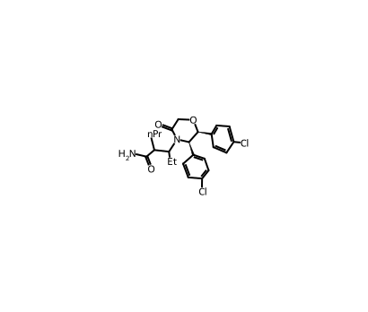 CCCC(C(N)=O)C(CC)N1C(=O)CO[C@@H](c2ccc(Cl)cc2)[C@H]1c1ccc(Cl)cc1